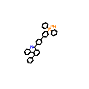 P=P(c1ccccc1)(c1ccccc1)c1ccc(-c2ccc(-c3nc4ccccc4c4c(-c5ccccc5)cccc34)cc2)cc1